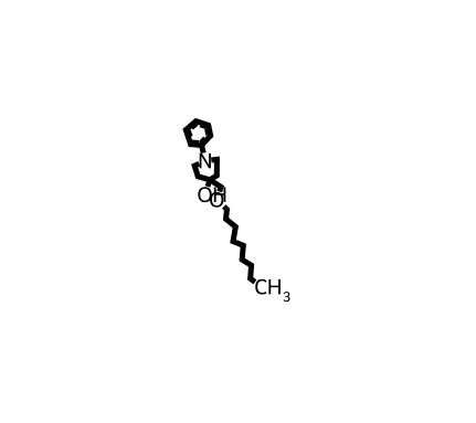 CCCCCCCCCOCC1(O)CCN(c2ccccc2)CC1